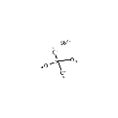 [O-][Si]([O-])([O-])[O-].[Sb+4]